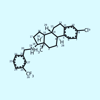 C[C@]12CC[C@@H]3c4ccc(Cl)cc4CC[C@H]3[C@@H]1CC[C@@H]2NCc1cccc(C(F)(F)F)c1